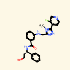 Cn1c(CNc2cccc(C(=O)N[C@H](CCO)c3ccccc3)c2)nnc1-c1ccncc1F